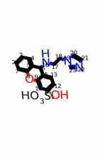 O=S(=O)(O)O.c1ccc2c(c1)Oc1ccccc1C2NCCn1ccnc1